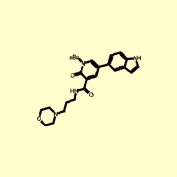 CCCCn1cc(-c2ccc3[nH]ccc3c2)cc(C(=O)NCCCN2CCOCC2)c1=O